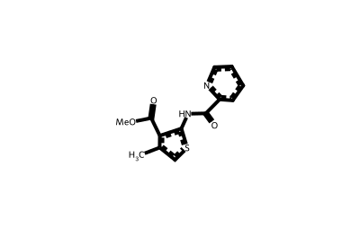 COC(=O)c1c(C)csc1NC(=O)c1ccccn1